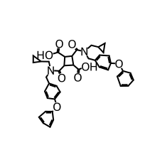 O=C(O)C1C(C(=O)N(Cc2ccc(Oc3ccccc3)cc2)CC2CC2)C(C(=O)O)C1C(=O)N(Cc1ccc(Oc2ccccc2)cc1)CC1CC1